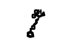 O=C(O)[C@@H](CC=CCOCc1ccccc1)C1CC1